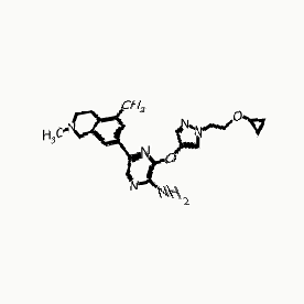 Cc1cc(-c2cnc(N)c(Oc3cnn(CCOC4CC4)c3)n2)cc2c1CCN(C)C2